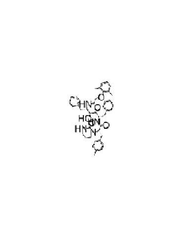 Cc1ccc(C[C@@H](C(=O)N[C@@H](Cc2ccccc2)C[C@H](O)[C@H](Cc2ccccc2)NC(=O)COc2c(C)cccc2C)N2CCCNC2=O)cc1